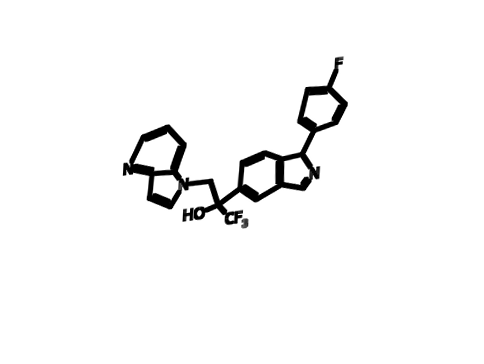 OC(Cn1ccc2ncccc21)(c1ccc2c(c1)C=NC2c1ccc(F)cc1)C(F)(F)F